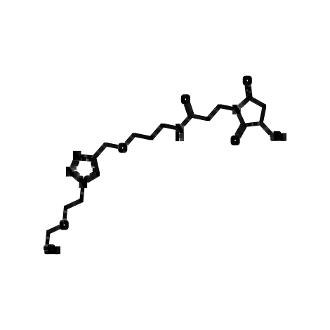 CC(C)(C)COCCn1cc(COCCCNC(=O)CCN2C(=O)CC(C(C)(C)C)C2=O)nn1